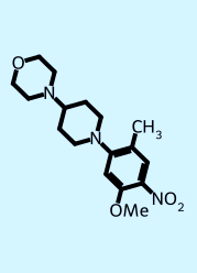 COc1cc(N2CCC(N3CCOCC3)CC2)c(C)cc1[N+](=O)[O-]